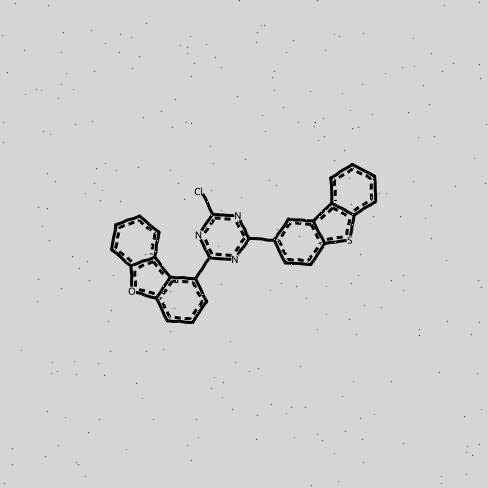 Clc1nc(-c2ccc3sc4ccccc4c3c2)nc(-c2cccc3oc4ccccc4c23)n1